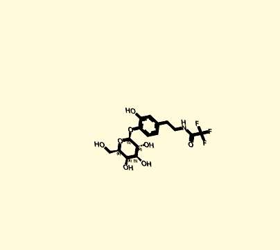 O=C(NCCc1ccc(O[C@@H]2O[C@H](CO)[C@H](O)[C@H](O)[C@H]2O)c(O)c1)C(F)(F)F